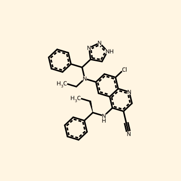 CC[C@@H](Nc1c(C#N)cnc2c(Cl)cc(N(CC)C(c3ccccc3)c3c[nH]nn3)cc12)c1ccccc1